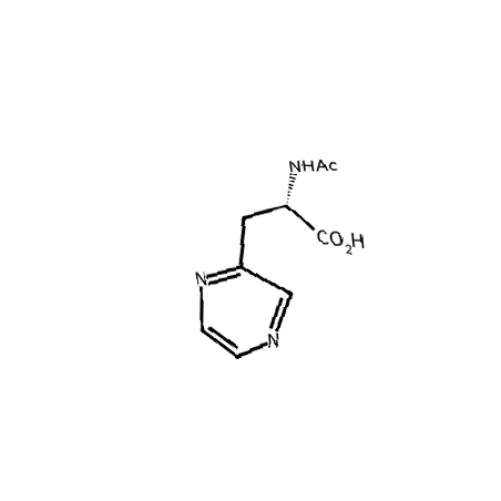 CC(=O)N[C@@H](Cc1cnccn1)C(=O)O